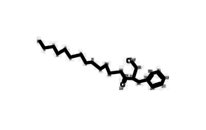 CCCCCCCCCCCCCC(=O)C(CCl)Cc1ccccc1